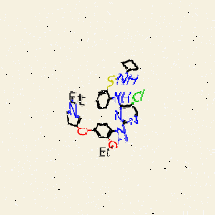 CCOc1cc(OC2CCN(CC)C2)ccc1Nc1ncc(Cl)c(Nc2ccccc2SNC2CCC2)n1